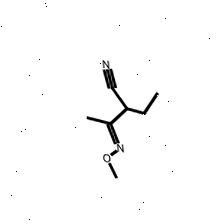 CCC(C#N)C(C)=NOC